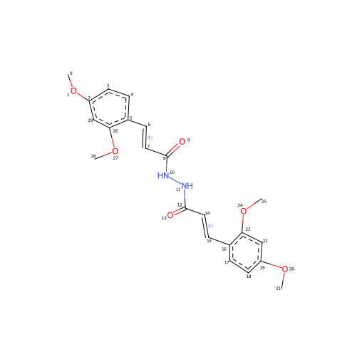 COc1ccc(/C=C/C(=O)NNC(=O)/C=C/c2ccc(OC)cc2OC)c(OC)c1